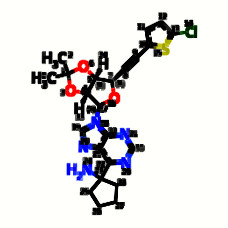 CC1(C)O[C@@H]2[C@H](O1)[C@@H](C#Cc1ccc(Cl)s1)O[C@H]2n1cnc2c(C3(N)CCCC3)ncnc21